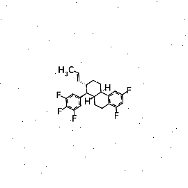 C/C=C/[C@@H]1CC[C@H]2c3cc(F)cc(F)c3CC[C@@H]2[C@H]1c1cc(F)c(F)c(F)c1